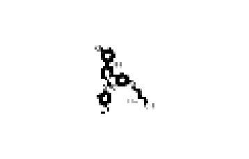 COc1ccc(OC(=O)N2CCc3c([nH]c4ccc(Cl)cc34)C2c2ccc(OCC[C@H](O)CO)cc2)cc1